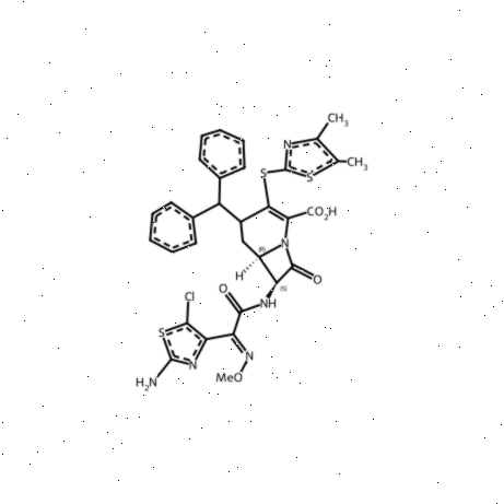 CON=C(C(=O)N[C@@H]1C(=O)N2C(C(=O)O)=C(Sc3nc(C)c(C)s3)C(C(c3ccccc3)c3ccccc3)C[C@H]12)c1nc(N)sc1Cl